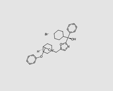 O[C@@](c1ccccc1)(c1ncc(C[N+]23CCC(CC2)[C@H](Oc2ccccc2)C3)o1)C1CCCCC1.[Br-]